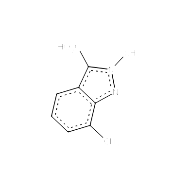 Cc1cccc2c(C(=O)O)n(C)nc12